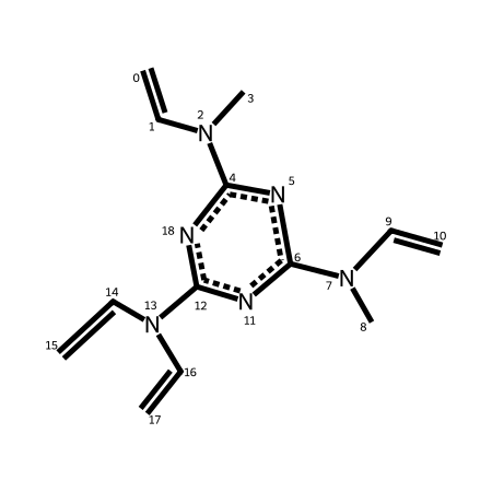 C=CN(C)c1nc(N(C)C=C)nc(N(C=C)C=C)n1